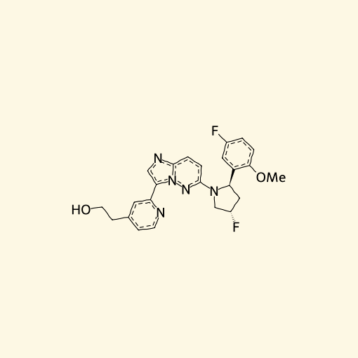 COc1ccc(F)cc1[C@H]1C[C@H](F)CN1c1ccc2ncc(-c3cc(CCO)ccn3)n2n1